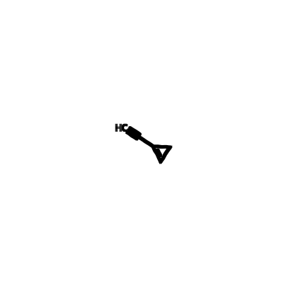 C#CC1=CC1